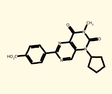 Cn1c(=O)c2nc(-c3ccc(C(=O)O)cc3)ncc2n(C2CCCC2)c1=O